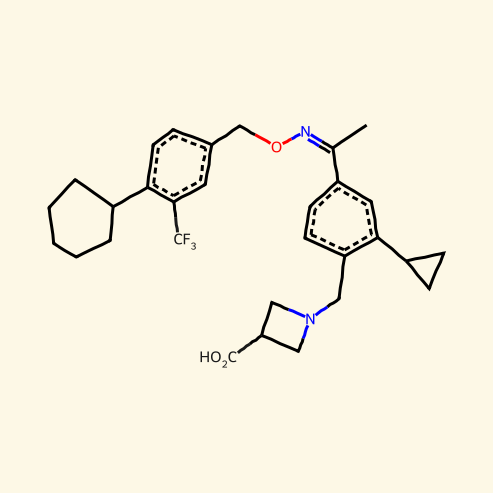 CC(=NOCc1ccc(C2CCCCC2)c(C(F)(F)F)c1)c1ccc(CN2CC(C(=O)O)C2)c(C2CC2)c1